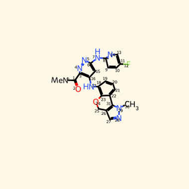 CNC(=O)c1nnc(Nc2ccc(F)cn2)cc1Nc1cccc2c1OCc1cnn(C)c1-2